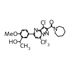 COc1ccc(-c2cc(C(F)(F)F)n3nc(C(=O)N4CCCCCC4)c(Cl)c3n2)cc1C(C)O